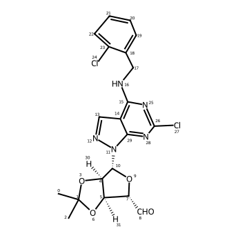 CC1(C)O[C@@H]2[C@H](O1)[C@@H](C=O)O[C@H]2n1ncc2c(NCc3ccccc3Cl)nc(Cl)nc21